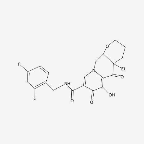 CCC12CCCOC1Cn1cc(C(=O)NCc3ccc(F)cc3F)c(=O)c(O)c1C2=O